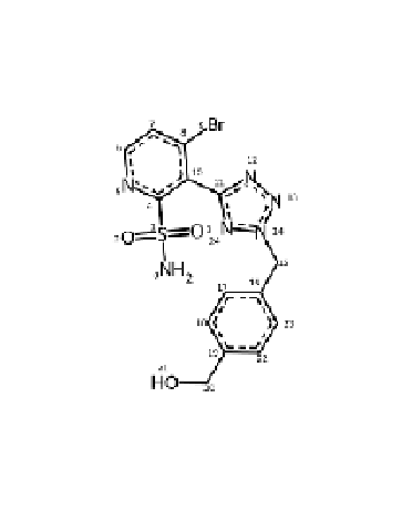 NS(=O)(=O)c1nccc(Br)c1-c1nnn(Cc2ccc(CO)cc2)n1